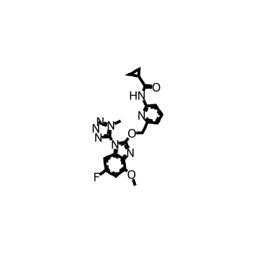 COc1cc(F)cc2c1nc(OCc1cccc(NC(=O)C3CC3)n1)n2-c1nnnn1C